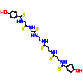 Oc1ccc(C(=S)NCCC(=S)NCCC(=S)NCCNC(=S)CNC(=S)CNC(=S)c2ccc(O)cc2)cc1